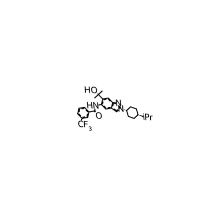 CC(C)[C@H]1CC[C@H](n2cc3cc(NC(=O)c4cccc(C(F)(F)F)c4)c(C(C)(C)O)cc3n2)CC1